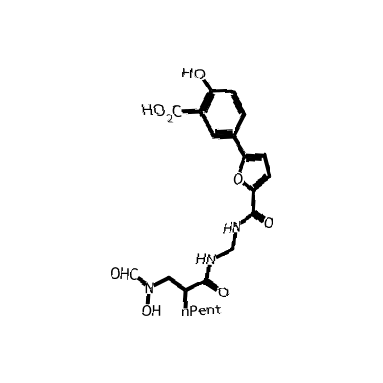 CCCCCC(CN(O)C=O)C(=O)NCNC(=O)c1ccc(-c2ccc(O)c(C(=O)O)c2)o1